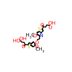 COc1cc2sc(C(=O)CCC(O)O)cc2cc1OCCc1nc2cc(C(=O)CCC(=O)O)sc2cc1OC